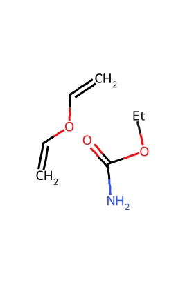 C=COC=C.CCOC(N)=O